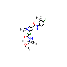 COCC(C)(C)NC(=O)C(F)(F)c1cc(C(=O)Nc2ccc(F)c(C)c2)cn1C